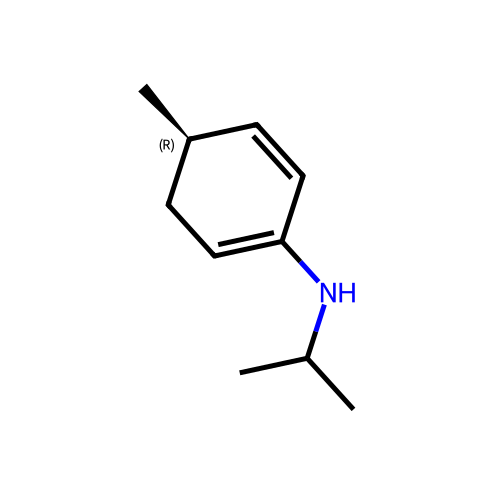 CC(C)NC1=CC[C@@H](C)C=C1